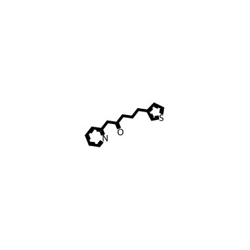 O=C(CCCc1ccsc1)Cc1ccccn1